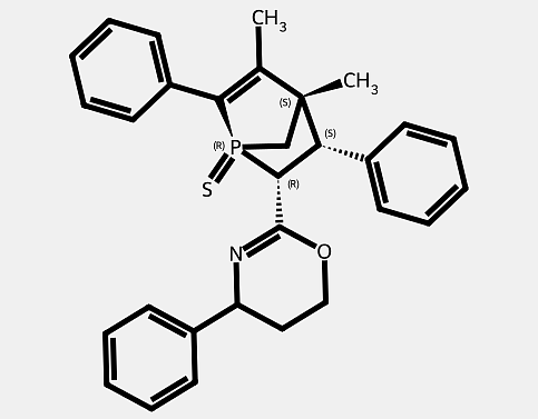 CC1=C(c2ccccc2)[P@@]2(=S)C[C@@]1(C)[C@H](c1ccccc1)[C@@H]2C1=NC(c2ccccc2)CCO1